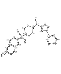 O=C(c1ccc(-c2ccncc2)s1)N1CCN(S(=O)(=O)c2ccc3cc(Br)ccc3c2)CC1